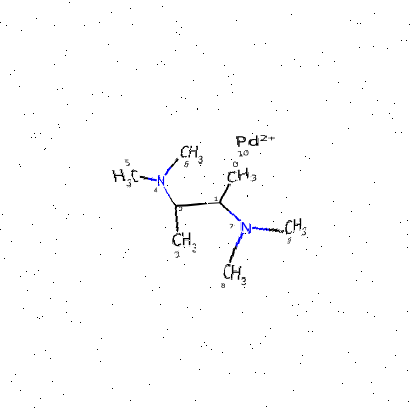 CC(C(C)N(C)C)N(C)C.[Pd+2]